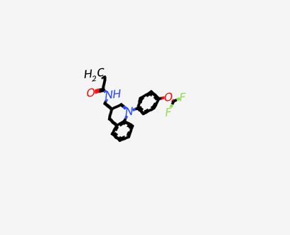 C=CC(=O)NCC1Cc2ccccc2N(c2ccc(OC(F)F)cc2)C1